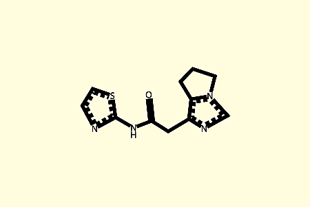 O=C(Cc1ncn2c1CCC2)Nc1nccs1